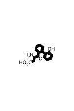 N[C@@H](CC(=O)O)C(=O)c1ccccc1-c1ccccc1O